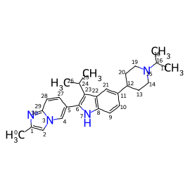 Cc1cn2cc(-c3[nH]c4ccc(C5CCN(C(C)C)CC5)cc4c3C(C)C)ccc2n1